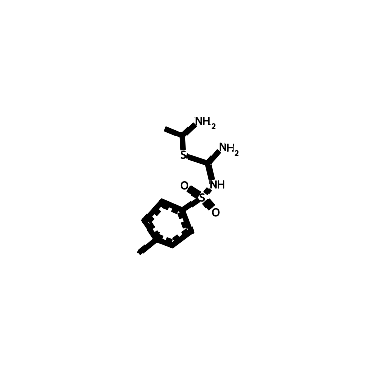 Cc1ccc(S(=O)(=O)NC(N)SC(C)N)cc1